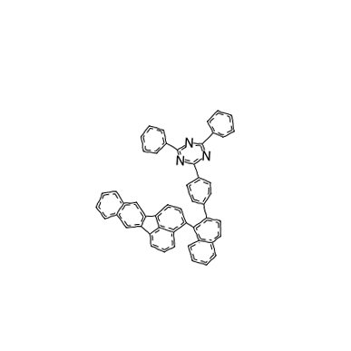 c1ccc(-c2nc(-c3ccccc3)nc(-c3ccc(-c4ccc5ccccc5c4-c4ccc5c6c(cccc46)-c4cc6ccccc6cc4-5)cc3)n2)cc1